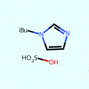 CCC(C)n1ccnc1.O=S(=O)(O)O